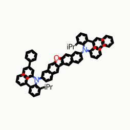 CC(C)c1cccc(-c2ccccc2)c1N(c1cccc(-c2ccccc2)c1)c1ccc2cc3c(cc2c1)oc1cc2cc(N(c4cccc(-c5ccccc5)c4)c4c(-c5ccccc5)cccc4C(C)C)ccc2cc13